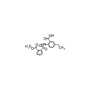 CCc1ccc(NS(=O)(=O)c2ccsc2C(=O)OC)c(C(=O)O)c1